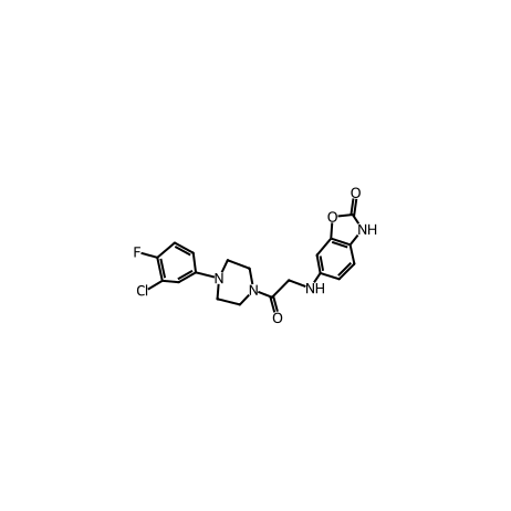 O=C(CNc1ccc2[nH]c(=O)oc2c1)N1CCN(c2ccc(F)c(Cl)c2)CC1